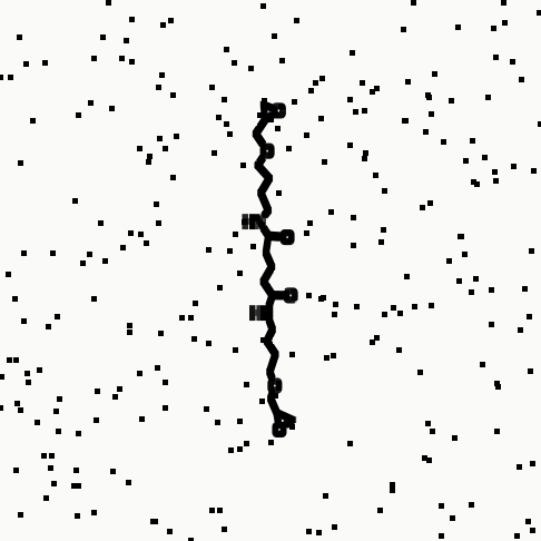 O=C(CCCC(=O)NCCCCOCC1CO1)NCCCCOCC1CO1